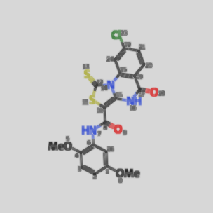 COc1ccc(OC)c(NC(=O)c2sc(=S)n3c2[nH]c(=O)c2ccc(Cl)cc23)c1